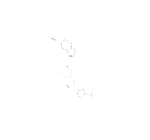 CC1(Cn2cnc3ccc(C#N)cc32)CCCC(CN(C(=O)O)c2cc(C(C)(C)C)no2)C1